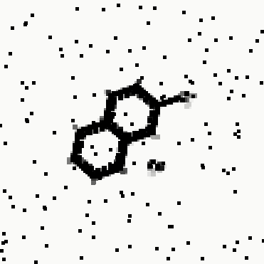 Oc1ccc2ccccc2c1.[Co]